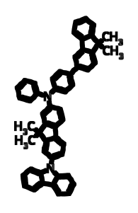 CC1(C)c2ccccc2-c2cc(-c3ccc(N(c4ccccc4)c4ccc5c(c4)C(C)(C)c4cc(-n6c7ccccc7c7ccccc76)ccc4-5)cc3)ccc21